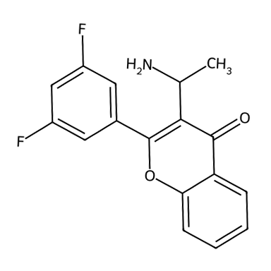 CC(N)c1c(-c2cc(F)cc(F)c2)oc2ccccc2c1=O